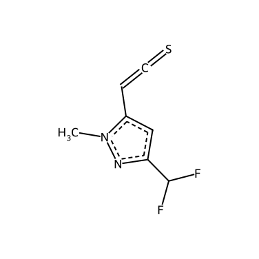 Cn1nc(C(F)F)cc1C=C=S